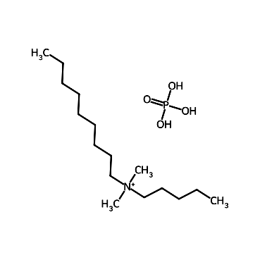 CCCCCCCCC[N+](C)(C)CCCCC.O=P(O)(O)O